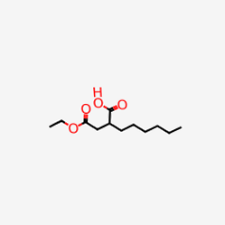 CCCCCCC(CC(=O)OCC)C(=O)O